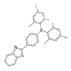 Cc1cc(C)c(B(c2ccc(-c3nc4ccccc4s3)cc2)c2c(C)cc(C)cc2C)c(C)c1